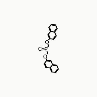 ClP(COc1ccc2ccccc2c1)COc1ccc2ccccc2c1